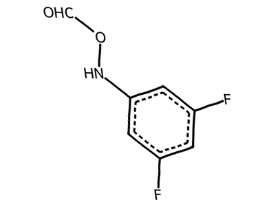 O=CONc1cc(F)cc(F)c1